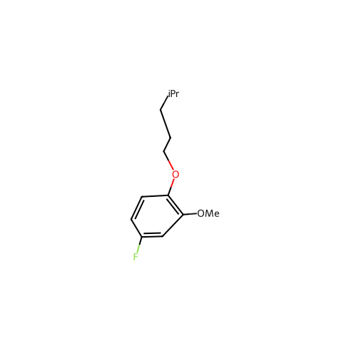 COc1cc(F)ccc1OCCCC(C)C